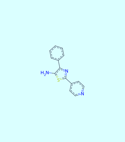 Nc1sc(-c2ccncc2)nc1-c1ccccc1